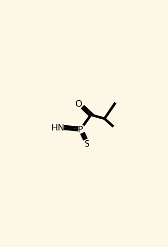 CC(C)C(=O)P(=N)=S